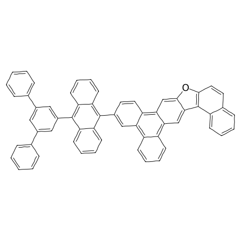 c1ccc(-c2cc(-c3ccccc3)cc(-c3c4ccccc4c(-c4ccc5c(c4)c4ccccc4c4cc6c(cc54)oc4ccc5ccccc5c46)c4ccccc34)c2)cc1